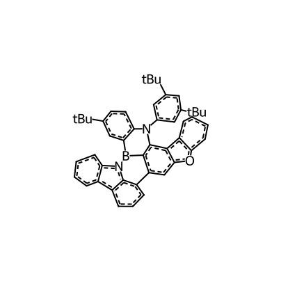 CC(C)(C)c1cc(N2c3ccc(C(C)(C)C)cc3B3c4c(cc5oc6ccccc6c5c42)-c2cccc4c5ccccc5n3c24)cc(C(C)(C)C)c1